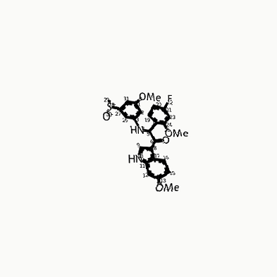 COc1cc(NC(C(=O)c2c[nH]c3cc(OC)ccc23)c2ccc(F)cc2OC)cc([S+](C)[O-])c1